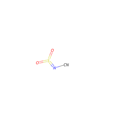 N#CN=S(=O)=O